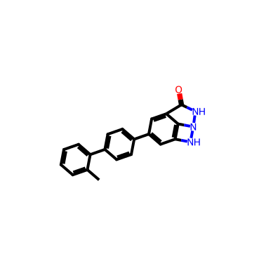 Cc1ccccc1-c1ccc(-c2cc3[nH]n4[nH]c(=O)c(c2)c34)cc1